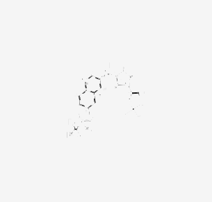 CC(C)(C)OC(=O)N1CC[C@H](Nc2cnc3ccc(OS(=O)(=O)C(F)(F)F)cc3c2)C1